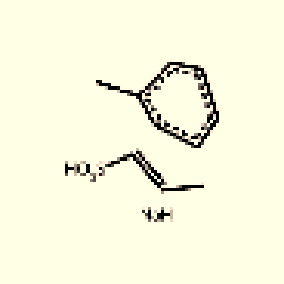 CC=CS(=O)(=O)O.Cc1ccccc1.[NaH]